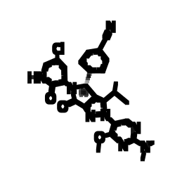 COc1nc(N(C)C)ncc1-n1nc2c(c1C(C)C)[C@@H](c1ccc(C#N)cc1)N(c1cc(Cl)c[nH]c1=O)C2=O